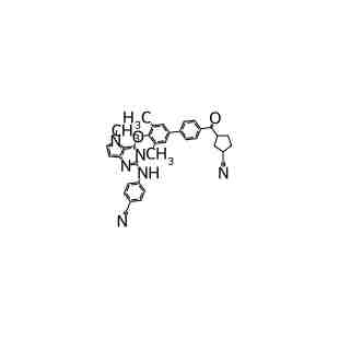 Cc1cc(-c2ccc(C(=O)C3CCC(C#N)C3)cc2)cc(C)c1Oc1nc(Nc2ccc(C#N)cc2)nc2ccn(C)c12